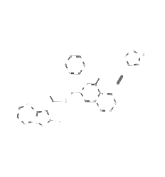 C[C@@H](NC(=O)c1c(N)nn2cccnc12)c1cc2cccc(C#Cc3cn[nH]c3)c2c(=O)n1-c1ccccc1